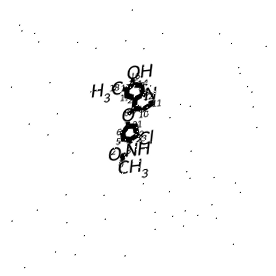 CC(=O)Nc1ccc(Oc2ccnc3cc(O)c(C)cc23)cc1Cl